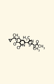 CC(=O)N(C)c1nc(C)c(-c2cc3c(c(Cl)n2)C(=O)N([C@@H](C)C2CC2)C3)s1